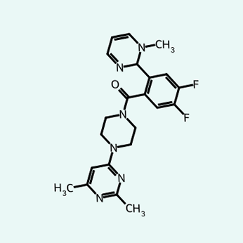 Cc1cc(N2CCN(C(=O)c3cc(F)c(F)cc3C3N=CC=CN3C)CC2)nc(C)n1